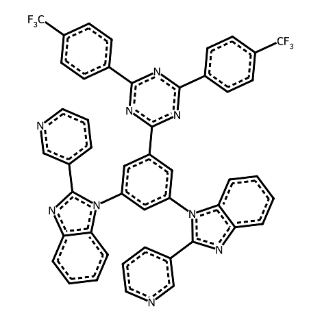 FC(F)(F)c1ccc(-c2nc(-c3ccc(C(F)(F)F)cc3)nc(-c3cc(-n4c(-c5cccnc5)nc5ccccc54)cc(-n4c(-c5cccnc5)nc5ccccc54)c3)n2)cc1